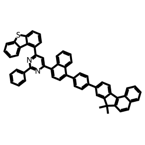 CC1(C)c2cc(-c3ccc(-c4ccc(-c5cc(-c6cccc7sc8ccccc8c67)nc(-c6ccccc6)n5)c5ccccc45)cc3)ccc2-c2c1ccc1ccccc21